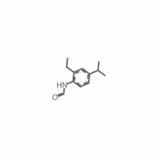 CCc1cc(C(C)C)ccc1NC=O